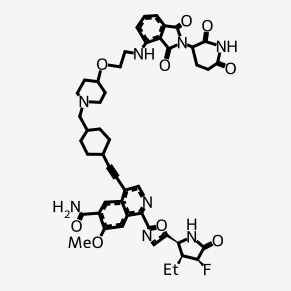 CC[C@@H]1[C@H](F)C(=O)N[C@@H]1c1cnc(-c2ncc(C#CC3CCC(CN4CCC(OCCNc5cccc6c5C(=O)N(C5CCC(=O)NC5=O)C6=O)CC4)CC3)c3cc(C(N)=O)c(OC)cc23)o1